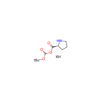 CC(C)(C)OC(=O)OC(=O)[C@@H]1CCCN1.[KH]